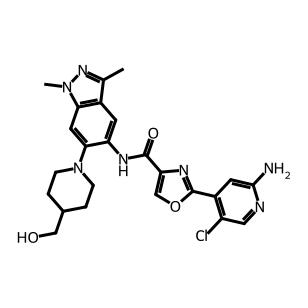 Cc1nn(C)c2cc(N3CCC(CO)CC3)c(NC(=O)c3coc(-c4cc(N)ncc4Cl)n3)cc12